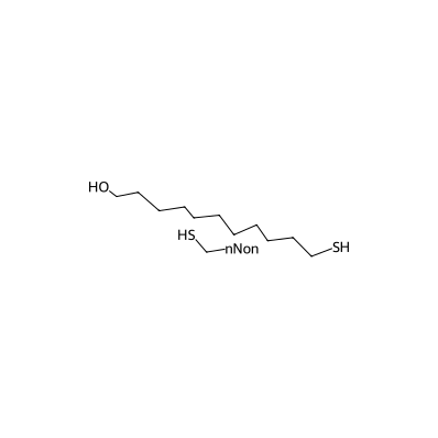 CCCCCCCCCCS.OCCCCCCCCCCCS